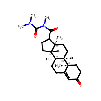 CN(C)C(=O)N(C)C(=O)C1CC[C@H]2[C@@H]3CCC4=CC(=O)CC[C@]4(C)[C@@H]3CC[C@]12C